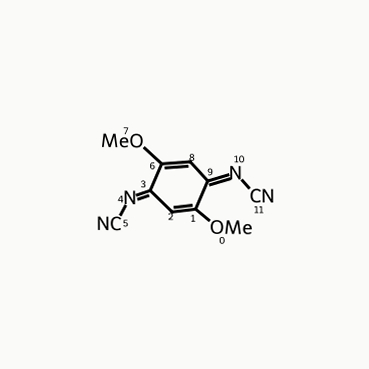 COC1=CC(=N\C#N)/C(OC)=CC/1=N/C#N